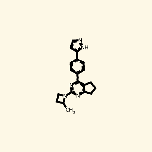 CC1CCN1c1nc2c(c(-c3ccc(-c4ccn[nH]4)cc3)n1)CCC2